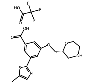 Cc1cnc(-c2cc(OC[C@H]3CNCCO3)cc(C(=O)O)c2)s1.O=C(O)C(F)(F)F